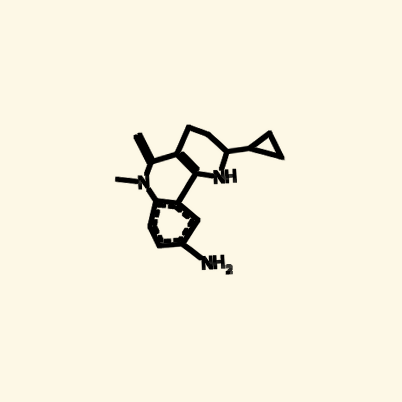 C=C1C2=C(NC(C3CC3)CC2)c2cc(N)ccc2N1C